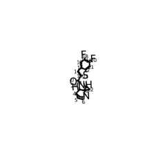 O=C(N[C@@H]1C2CCN(CC2)C12CC2)c1cc2cc(F)c(F)cc2s1